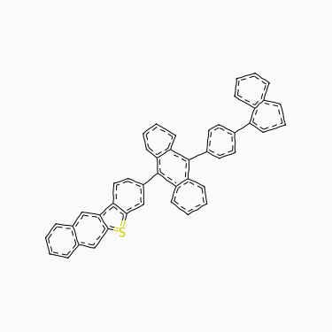 c1ccc2cc3c(cc2c1)sc1cc(-c2c4ccccc4c(-c4ccc(-c5cccc6ccccc56)cc4)c4ccccc24)ccc13